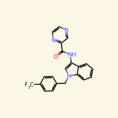 O=C(Nc1cn(Cc2ccc(C(F)(F)F)cc2)c2ccccc12)c1cnccn1